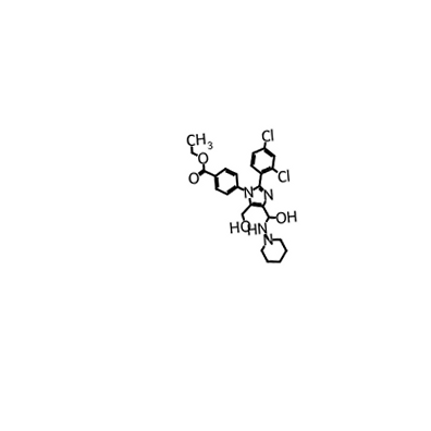 CCOC(=O)c1ccc(-n2c(-c3ccc(Cl)cc3Cl)nc(C(O)NN3CCCCC3)c2CO)cc1